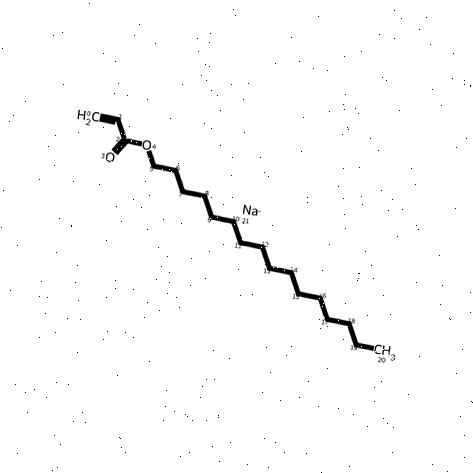 C=CC(=O)OCCCCCCCCCCCCCCCC.[Na]